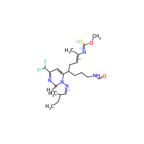 C=C1N=C(C(F)F)C=C(C(C/C=C(C)/N=C(\S)OC)CCCNC=O)N1/N=C\C(C)CC